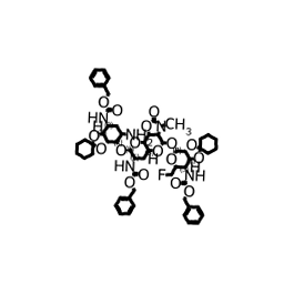 CN1C(=O)OC2C3O[C@H](O[C@@H]4C(N)C[C@@H](NC(=O)OCc5ccccc5)[C@H]5OC6(CCCCC6)OC45)[C@@H](NC(=O)OCc4ccccc4)C[C@@H]3OC(O[C@H]3OC(CF)[C@@H](NC(=O)OCc4ccccc4)[C@@H]4OC5(CCCCC5)OC34)C21